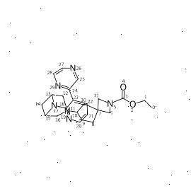 CCOC(=O)N1CC2(CCC(N3CC4CC(C3)N4c3ncccc3-c3cnccn3)C2)C1